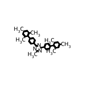 Cc1cc(C)c(-c2ccc(-c3nc(C)nc(-c4ccc(-c5c(C)cc(C)cc5C)cc4)n3)cc2)c(C)c1